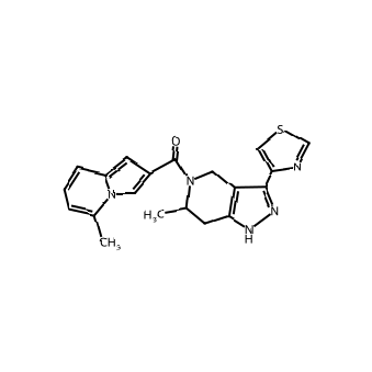 Cc1cccc2cc(C(=O)N3Cc4c(-c5cscn5)n[nH]c4CC3C)cn12